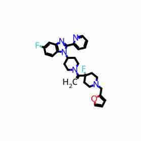 C=C(N1CCC(n2c(-c3ccccn3)nc3cc(F)ccc32)CC1)C1(F)CCN(Cc2ccco2)CC1